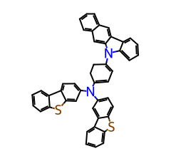 C1=C(N(c2ccc3c(c2)sc2ccccc23)c2ccc3sc4ccccc4c3c2)CCC(n2c3ccccc3c3cc4ccccc4cc32)=C1